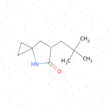 CC(C)(C)CC1CC2(CC2)NC1=O